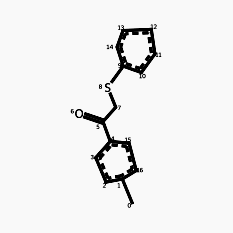 Cc1ccc(C(=O)CSc2ccccc2)cc1